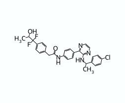 CC(Nc1nccnc1-c1ccc(NC(=O)Cc2ccc(C(F)(F)C(C)O)cc2)cc1)c1ccc(Cl)cc1